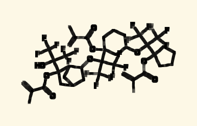 C=C(C)C(=O)OC1(C(OC2CCCC(OC(=O)C(=C)C)(C(OC3CC4CC3C(OC(=O)C(=C)C)(C(O)(C(F)(F)F)C(F)(F)F)C4)(C(F)(F)F)C(F)(F)F)C2)(C(F)(F)F)C(F)(F)F)CCCC1